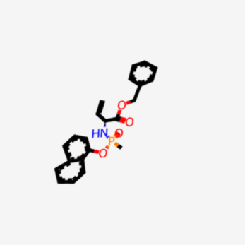 C=C[C@@H](NP(C)(=O)Oc1cccc2ccccc12)C(=O)OCc1ccccc1